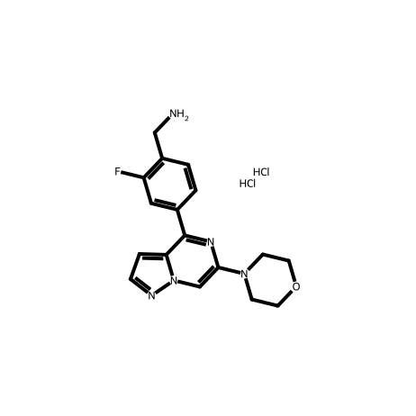 Cl.Cl.NCc1ccc(-c2nc(N3CCOCC3)cn3nccc23)cc1F